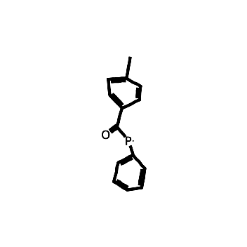 Cc1ccc(C(=O)[P]c2ccccc2)cc1